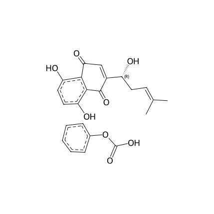 CC(C)=CC[C@@H](O)C1=CC(=O)c2c(O)ccc(O)c2C1=O.O=C(O)Oc1ccccc1